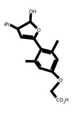 Cc1cc(OCC(=O)O)cc(C)c1C1=CC(C(C)C)C(O)O1